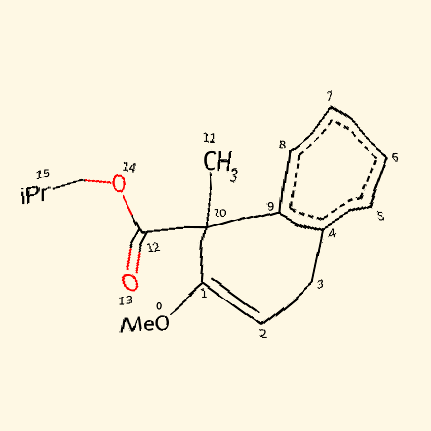 COC1=CCc2ccccc2C1(C)C(=O)OC(C)C